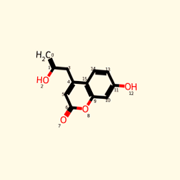 C=C(O)Cc1cc(=O)oc2cc(O)ccc12